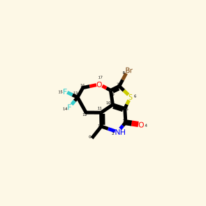 Cc1[nH]c(=O)c2sc(Br)c3c2c1CC(F)(F)CO3